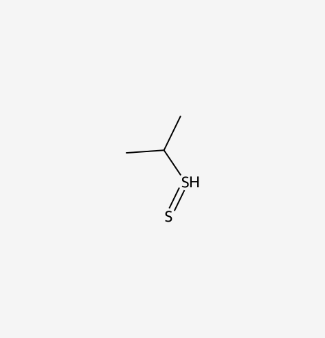 CC(C)[SH]=S